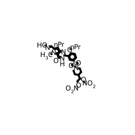 CCCOc1ccc(S(=O)(=O)N2CCC(C(CO[N+](=O)[O-])O[N+](=O)[O-])CC2)cc1-c1nc2c(CCC)c(/C=N/O)n(C)c2c(=O)[nH]1